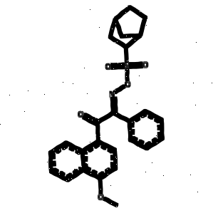 COc1ccc(C(=O)/C(=N/OS(=O)(=O)C2CC3CCC2C3)c2ccccc2)c2ccccc12